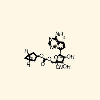 N#C[C@]1(COC(=O)OC2C[C@@H]3C[C@@H]3C2)O[C@@H](c2ccc3c(N)ncnn23)[C@H](O)[C@@H]1O